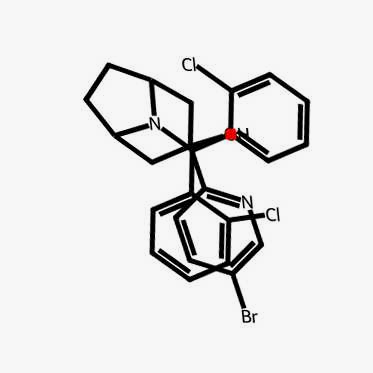 OC1(c2ccc(Br)cn2)CC2CCC(C1)N2C(c1ccccc1Cl)c1ccccc1Cl